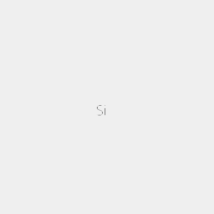 C[Si](C)(C1=CC=CC1)c1ccccc1